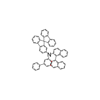 c1ccc(-c2cccc(N(c3ccc4c(c3)C3(c5ccccc5-c5ccccc53)c3ccccc3-4)c3ccc4ccccc4c3-c3cccc4ccccc34)c2)cc1